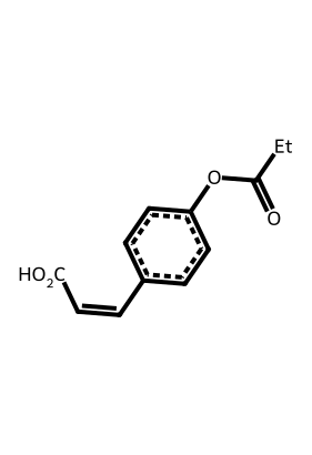 CCC(=O)Oc1ccc(/C=C\C(=O)O)cc1